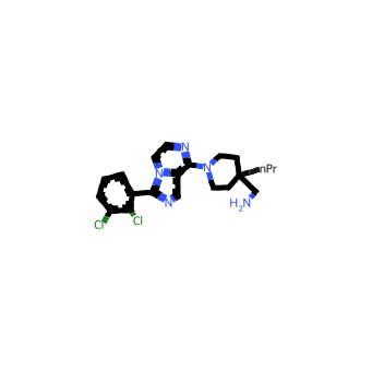 CCCC1(CN)CCN(c2nccn3c(-c4cccc(Cl)c4Cl)ncc23)CC1